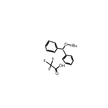 CCCCOI(c1ccccc1)c1ccccc1.O=C(O)C(F)(F)F